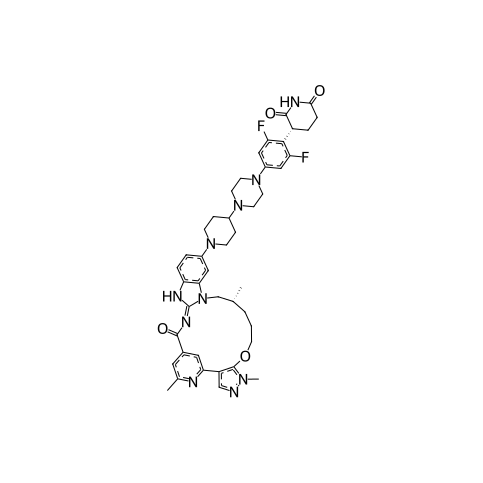 Cc1cc2cc(n1)-c1cnn(C)c1OCCC[C@@H](C)CN1/C(=N/C2=O)Nc2ccc(N3CCC(N4CCN(c5cc(F)c([C@H]6CCC(=O)NC6=O)c(F)c5)CC4)CC3)cc21